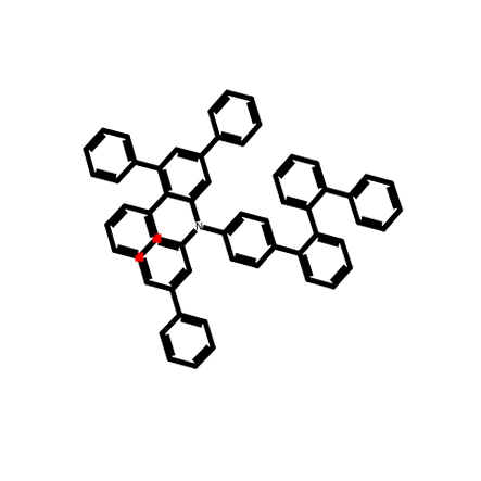 c1ccc(-c2cccc(N(c3ccc(-c4ccccc4-c4ccccc4-c4ccccc4)cc3)c3cc(-c4ccccc4)cc(-c4ccccc4)c3-c3ccccc3)c2)cc1